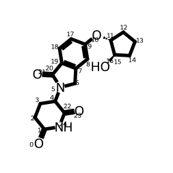 O=C1CCC(N2Cc3cc(O[C@@H]4CCC[C@H]4O)ccc3C2=O)C(=O)N1